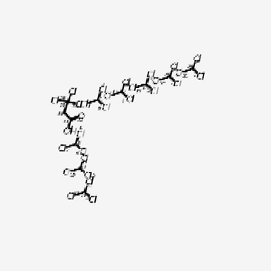 ClC(Cl)Cl.ClC(Cl)Cl.ClC(Cl)Cl.ClC(Cl)Cl.ClC(Cl)Cl.ClC(Cl)Cl.ClC(Cl)Cl.ClC(Cl)Cl.O=C(O)CC(Cl)(Cl)Cl